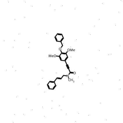 COc1cc(C#CC(=O)N(C)CC=Cc2ccccc2)cc(OC)c1OCc1ccccc1